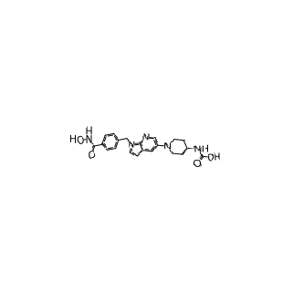 O=C(O)NC1CCN(c2cnc3c(ccn3Cc3ccc(C(=O)NO)cc3)c2)CC1